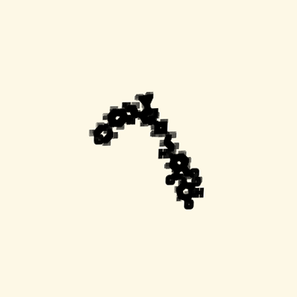 O=C1CCC(N2C(=O)c3ccc(NCCC[C@H]4C[C@H](n5cc(-c6cnc7ccc(N8CCOCC8)cc7n6)c(C6CC6)n5)C4)cc3C2=O)C(=O)N1